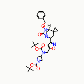 CC(C)(C)OC(=O)N1CC(N(Cc2cc([C@@H]3CC4(CC4)[C@H]4CN3C(=O)N4OCc3ccccc3)no2)C(=O)OC(C)(C)C)C1